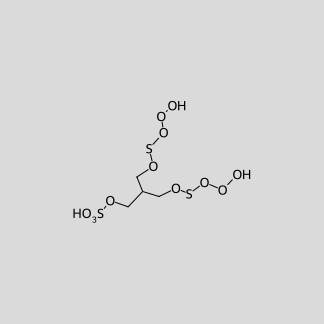 O=S(=O)(O)OCC(COSOOO)COSOOO